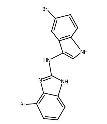 Brc1ccc2[nH]cc(Nc3nc4c(Br)cccc4[nH]3)c2c1